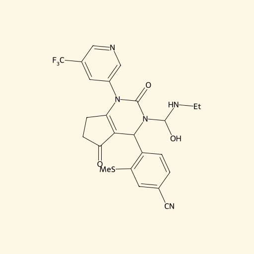 CCNC(O)N1C(=O)N(c2cncc(C(F)(F)F)c2)C2=C(C(=O)CC2)C1c1ccc(C#N)cc1SC